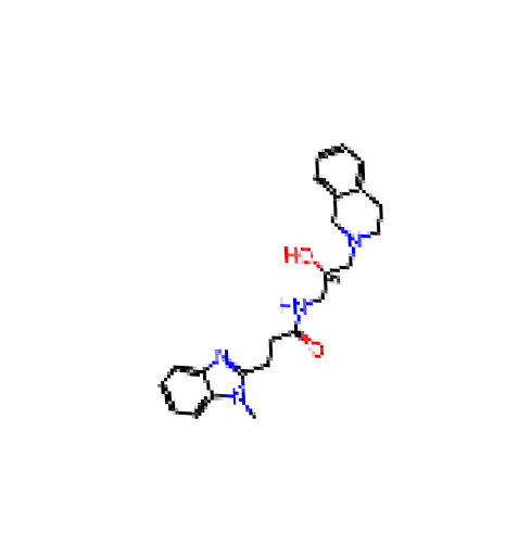 Cn1c(CCC(=O)NC[C@@H](O)CN2CCc3ccccc3C2)nc2ccccc21